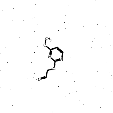 COc1ccnc(OCC=O)n1